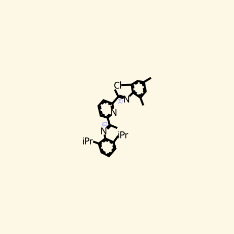 C/C(=N\c1c(C)cc(C)cc1Cl)c1cccc(/C(C)=N/c2c(C(C)C)cccc2C(C)C)n1